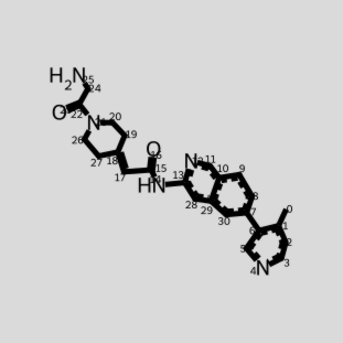 Cc1ccncc1-c1ccc2cnc(NC(=O)C=C3CCN(C(=O)CN)CC3)cc2c1